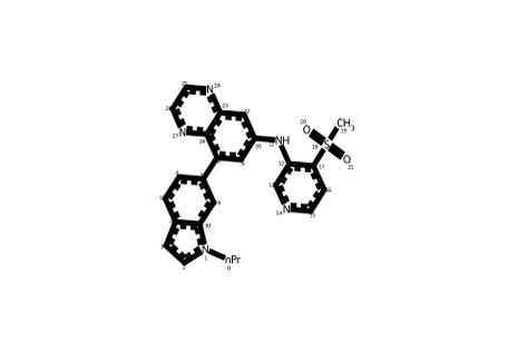 CCCn1ccc2ccc(-c3cc(Nc4cnccc4S(C)(=O)=O)cc4nccnc34)cc21